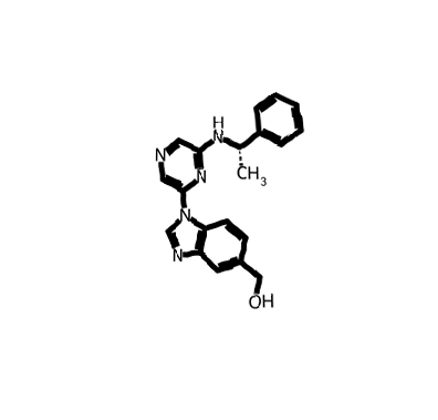 C[C@H](Nc1cncc(-n2cnc3cc(CO)ccc32)n1)c1ccccc1